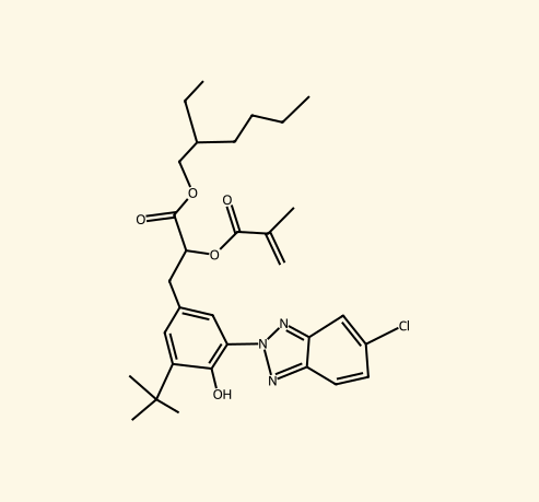 C=C(C)C(=O)OC(Cc1cc(-n2nc3ccc(Cl)cc3n2)c(O)c(C(C)(C)C)c1)C(=O)OCC(CC)CCCC